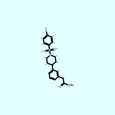 COC(=O)Cc1cccc(C2CCN(S(=O)(=O)c3ccc(F)cc3)CC2)c1